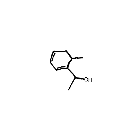 CC(O)C1=CC=CCC1C